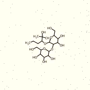 CCCC(OC1OC(CO)C(O)C(O)C1OC1OC(CO)C(O)C(O)C1O)C(C)(C)O